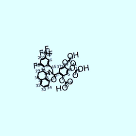 O=C(O)Oc1cc(OC(=O)O)c(C(=O)N(Cc2cc(F)cc(C(F)(F)F)c2)[C@H]2CCCc3ccccc32)cc1OC(=O)O